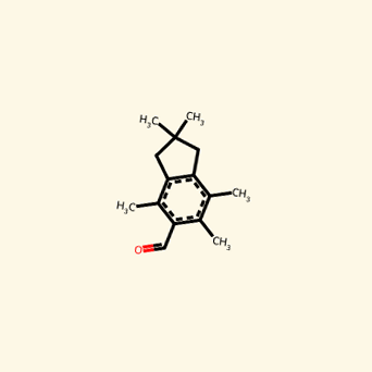 Cc1c(C)c2c(c(C)c1C=O)CC(C)(C)C2